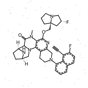 C#Cc1c(F)ccc2cccc(N3CCc4c(nc(OC[C@@]56CCCN5C[C@H](F)C6)c5c4N4C[C@H]6CC[C@H](N6)C4C(=O)N5C)C3)c12